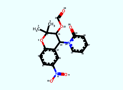 CC1(C)Oc2ccc([N+](=O)[O-])cc2C(n2ccccc2=O)C1OC=O